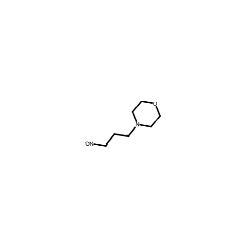 O=NCCCN1CCOCC1